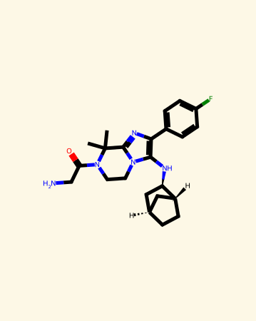 CC1(C)c2nc(-c3ccc(F)cc3)c(N[C@@H]3C[C@@H]4CC[C@@H]3C4)n2CCN1C(=O)CN